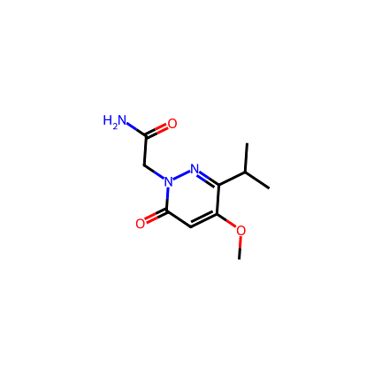 COc1cc(=O)n(CC(N)=O)nc1C(C)C